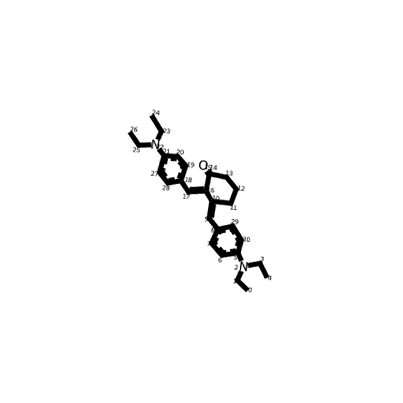 CCN(CC)c1ccc(C=C2CCCC(=O)C2=Cc2ccc(N(CC)CC)cc2)cc1